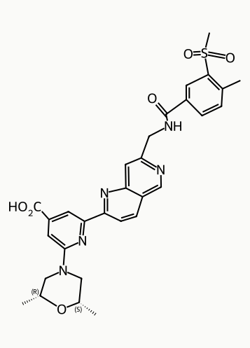 Cc1ccc(C(=O)NCc2cc3nc(-c4cc(C(=O)O)cc(N5C[C@@H](C)O[C@@H](C)C5)n4)ccc3cn2)cc1S(C)(=O)=O